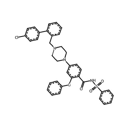 O=C(NS(=O)(=O)c1ccccc1)c1ccc(N2CCN(Cc3ccccc3-c3ccc(Cl)cc3)CC2)cc1Oc1ccccc1